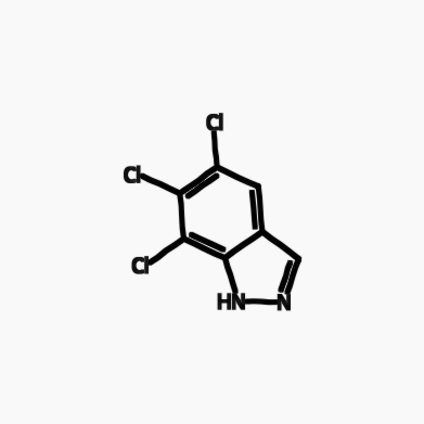 Clc1cc2cn[nH]c2c(Cl)c1Cl